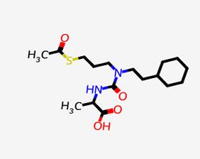 CC(=O)SCCCN(CCC1CCCCC1)C(=O)NC(C)C(=O)O